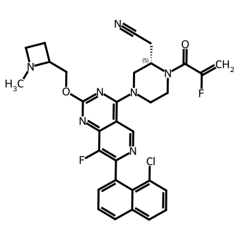 C=C(F)C(=O)N1CCN(c2nc(OCC3CCN3C)nc3c(F)c(-c4cccc5cccc(Cl)c45)ncc23)C[C@@H]1CC#N